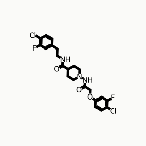 O=C(COc1ccc(Cl)c(F)c1)NN1CCC(C(=O)NCCc2ccc(Cl)c(F)c2)CC1